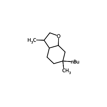 CCCCC1(C)CCC2C(C)COC2C1